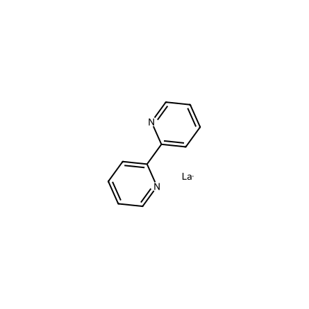 [La].c1ccc(-c2ccccn2)nc1